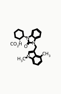 Cc1cccc2c1c(Cn1c(=O)n([C@@H]3CCCC[C@H]3C(=O)O)c3ccccc31)cn2C